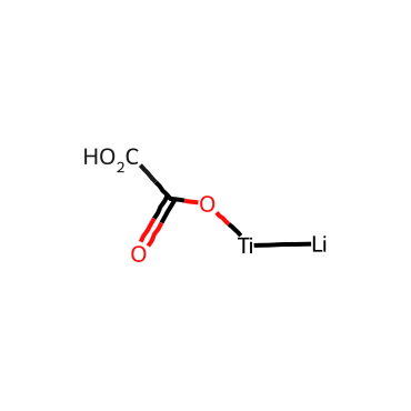 [Li][Ti][O]C(=O)C(=O)O